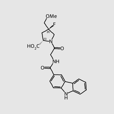 COC[C@@]1(F)C[C@@H](C(=O)O)N(C(=O)CNC(=O)c2ccc3[nH]c4ccccc4c3c2)C1